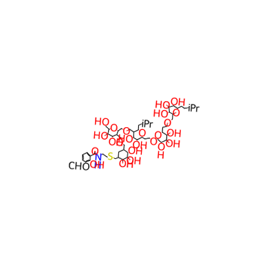 CC(C)CCC1OC(COCCC2OC(OCCC3OC(CC(C)C)C(COCC4OC(CO)C(O)C(O)C4COCC4CC(CSCCNC(=O)c5cccc(C=O)c5O)C(O)C(O)C4O)C(O)C3O)C(O)C(O)C2O)C(O)C(O)C1O